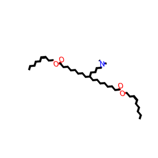 CCCCC/C=C\CCOC(=O)CCCCCCCC(CCCCCCCC(=O)OCC/C=C\CCCCC)CCCCN(C)C